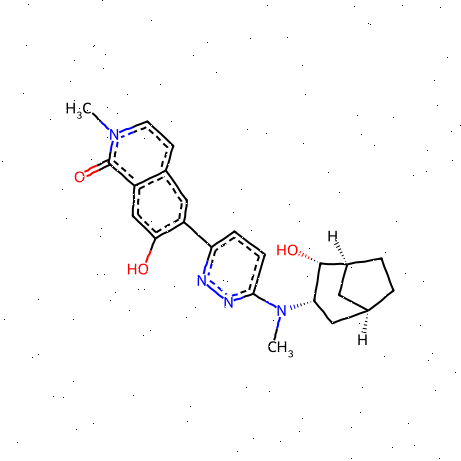 CN(c1ccc(-c2cc3ccn(C)c(=O)c3cc2O)nn1)[C@H]1C[C@@H]2CC[C@@H](C2)[C@H]1O